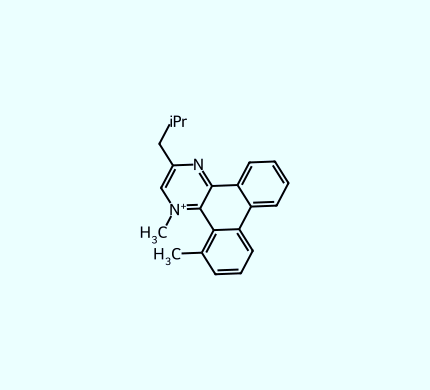 Cc1cccc2c3ccccc3c3nc(CC(C)C)c[n+](C)c3c12